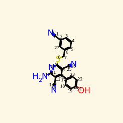 N#Cc1cccc(CSc2nc(N)c(C#N)c(-c3ccc(O)cc3)c2C#N)c1